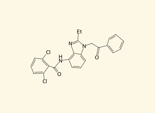 CCc1nc2c(NC(=O)c3c(Cl)cccc3Cl)cccc2n1CC(=O)c1ccccc1